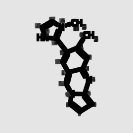 Cc1cc2nc3cccn3cc2cc1-c1[nH]cc[n+]1C